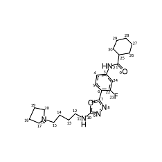 O=C(Nc1ccc(-c2nnc(NCCCCN3CCCC3)o2)c(F)c1)C1CCCCC1